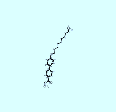 C=CCCCCCCCCOc1ccc(-c2ccc(C(=O)OC)cc2)cc1